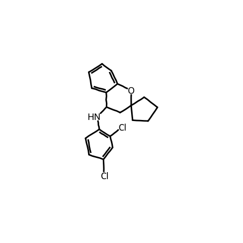 Clc1ccc(NC2CC3(CCCC3)Oc3ccccc32)c(Cl)c1